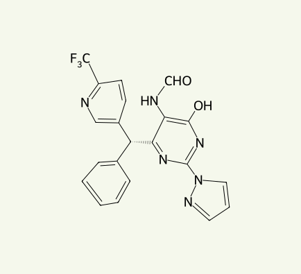 O=CNc1c(O)nc(-n2cccn2)nc1[C@H](c1ccccc1)c1ccc(C(F)(F)F)nc1